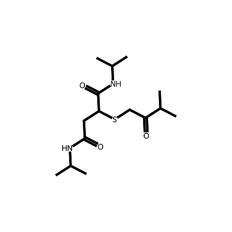 CC(C)NC(=O)CC(SCC(=O)C(C)C)C(=O)NC(C)C